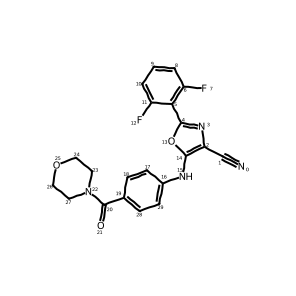 N#Cc1nc(-c2c(F)cccc2F)oc1Nc1ccc(C(=O)N2CCOCC2)cc1